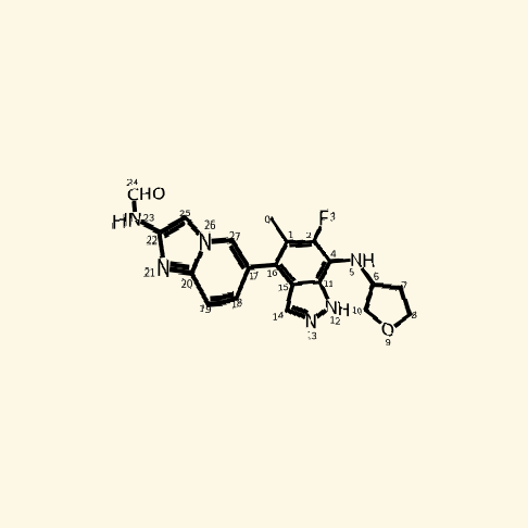 Cc1c(F)c(NC2CCOC2)c2[nH]ncc2c1-c1ccc2nc(NC=O)cn2c1